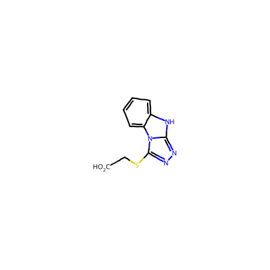 O=C(O)CSc1nnc2[nH]c3ccccc3n12